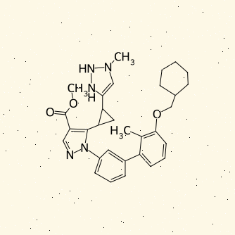 COC(=O)c1cnn(-c2cccc(-c3cccc(OCC4CCCCC4)c3C)c2)c1C1CC1C1=CN(C)NN1